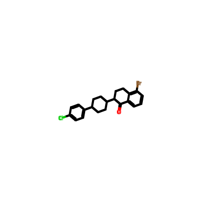 O=C1c2cccc(Br)c2CCC1C1CCC(c2ccc(Cl)cc2)CC1